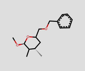 CO[C@H]1OC(COCc2ccccc2)C[C@H](C)C1C